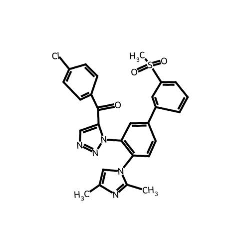 Cc1cn(-c2ccc(-c3cccc(S(C)(=O)=O)c3)cc2-n2nncc2C(=O)c2ccc(Cl)cc2)c(C)n1